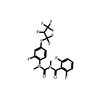 CN(C(=O)c1c(F)cccc1F)C(=O)N(C)c1ccc(SC(F)(F)C(F)C(F)(F)F)cc1F